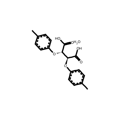 Cc1ccc(O[C@H](C(=O)O)[C@H](Oc2ccc(C)cc2)C(=O)O)cc1.O